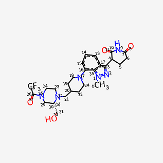 Cn1nc(C2CCC(=O)NC2=O)c2cccc(N3CCC(CN4CCN(C(=O)C(F)(F)F)C[C@H]4CO)CC3)c21